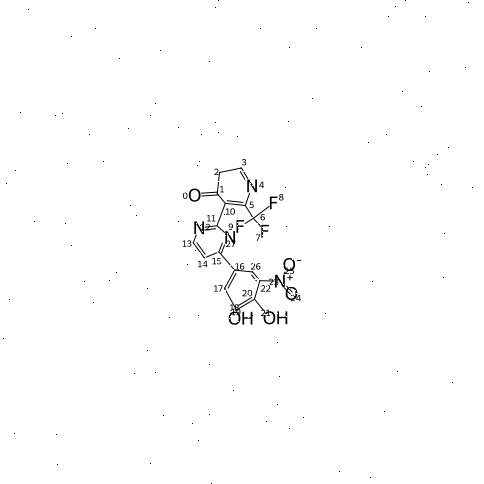 O=C1CC=NC(C(F)(F)F)=C1c1nccc(-c2cc(O)c(O)c([N+](=O)[O-])c2)n1